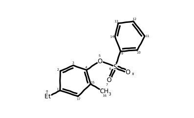 CCc1ccc(OS(=O)(=O)c2ccccc2)c(C)c1